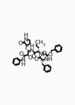 CCC[C@H](NC(=O)[C@@H](Cc1ccccc1)NC(=O)OCc1ccccc1)C(=O)N[C@@H](C[C@@H]1CCNC1=O)C(=O)C(=O)Nc1ccccc1